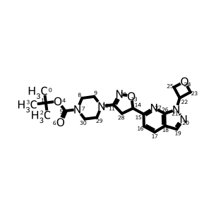 CC(C)(C)OC(=O)N1CCN(C2=NOC(c3ccc4cnn(C5COC5)c4n3)C2)CC1